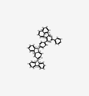 c1ccc(-c2nc(-c3ccc(-n4c5ccccc5c5cc(-n6c7ccccc7c7ccccc76)ccc54)cc3)c3c(n2)-c2cccc4cccc-3c24)cc1